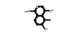 CCCc1ccc2c(NC)ncc(O)c2c1C